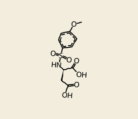 COc1ccc(S(=O)(=O)N[C@H](CC(=O)O)C(=O)O)cc1